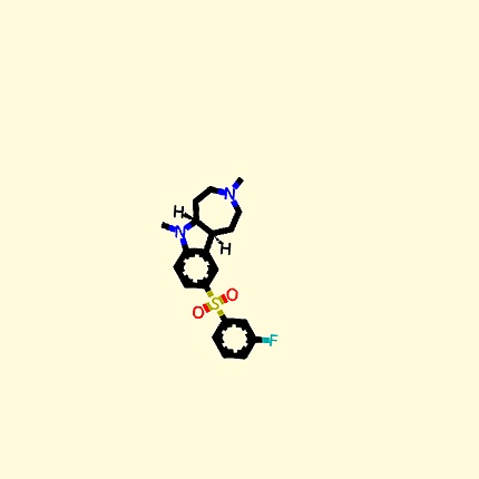 CN1CC[C@@H]2[C@@H](CC1)c1cc(S(=O)(=O)c3cccc(F)c3)ccc1N2C